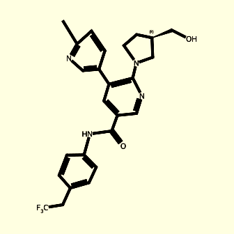 Cc1ccc(-c2cc(C(=O)Nc3ccc(CC(F)(F)F)cc3)cnc2N2CC[C@@H](CO)C2)cn1